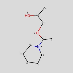 CC(O)COC(C)N1CCCCC1